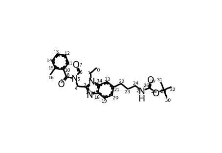 CCn1c(CN(C=O)C(=O)c2ccccc2C)nc2ccc(CCCNC(=O)OC(C)(C)C)cc21